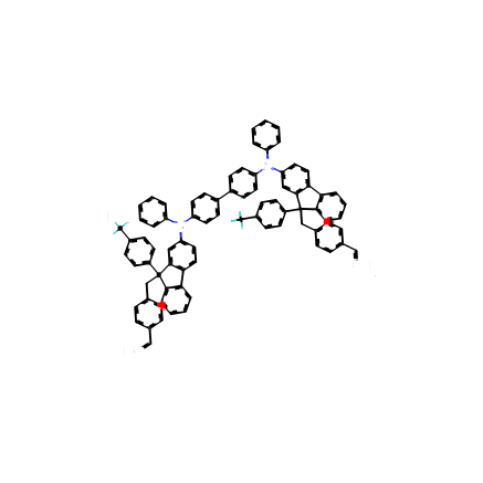 C=Cc1ccc(CC2(c3ccc(C(F)(F)F)cc3)c3ccccc3-c3ccc(N(c4ccccc4)c4ccc(-c5ccc(N(c6ccccc6)c6ccc7c(c6)C(Cc6ccc(C=C)cc6)(c6ccc(C(F)(F)F)cc6)c6ccccc6-7)cc5)cc4)cc32)cc1